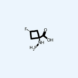 O=C(O)[C@]1(NP)C[C@H](F)C1